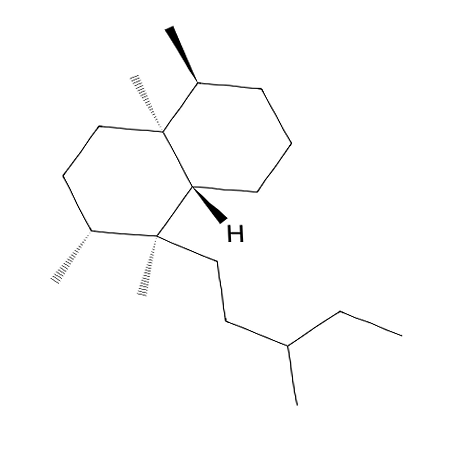 CCC(C)CC[C@]1(C)[C@H]2CCC[C@H](C)[C@]2(C)CC[C@H]1C